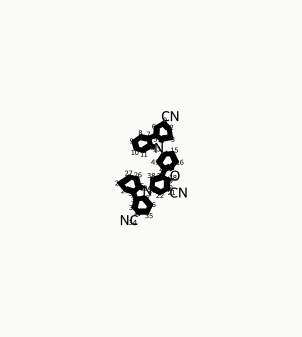 N#Cc1ccc2c(c1)c1ccccc1n2-c1ccc2oc3c(C#N)cc(-n4c5ccccc5c5cc(C#N)ccc54)cc3c2c1